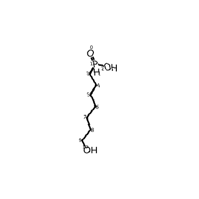 O=[PH](O)CCCCCCCO